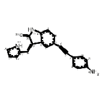 Nc1ccc(C#Cc2ccc3c(c2)/C(=C/c2ccc[nH]2)C(=O)N3)cc1